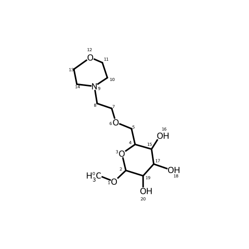 COC1OC(COCCN2CCOCC2)C(O)C(O)C1O